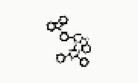 O=c1nc(-c2ccccc2)nc(-c2ccccc2)n1-c1cccc2c1C1C=C(c3cccc(-n4c5ccccc5c5ccccc54)c3)C=CC1O2